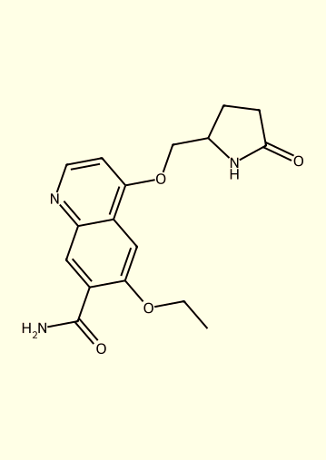 CCOc1cc2c(OCC3CCC(=O)N3)ccnc2cc1C(N)=O